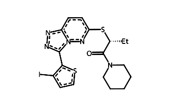 CC[C@@H](Sc1ccc2nnc(-c3sccc3I)n2n1)C(=O)N1CCCCC1